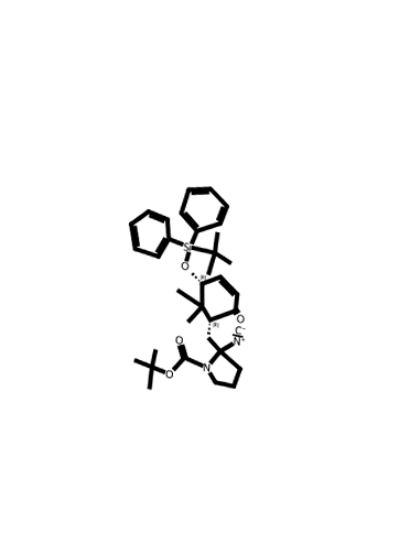 [C-]#[N+]C1(C[C@H]2C(=O)C=C[C@@H](O[Si](c3ccccc3)(c3ccccc3)C(C)(C)C)C2(C)C)CCCN1C(=O)OC(C)(C)C